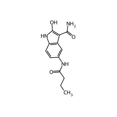 CCCC(=O)Nc1ccc2[nH]c(O)c(C(N)=O)c2c1